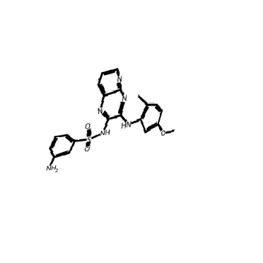 COc1ccc(C)c(Nc2nc3ncccc3nc2NS(=O)(=O)c2cccc(N)c2)c1